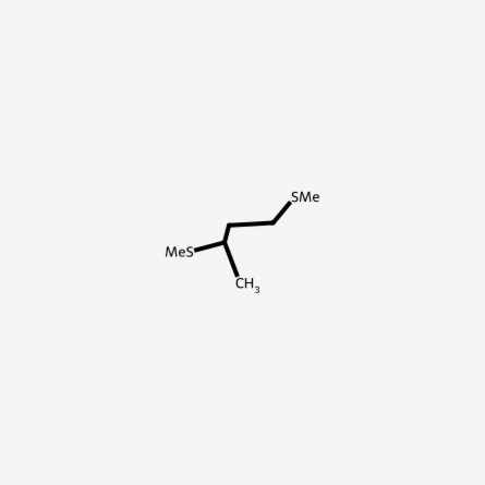 CSCCC(C)SC